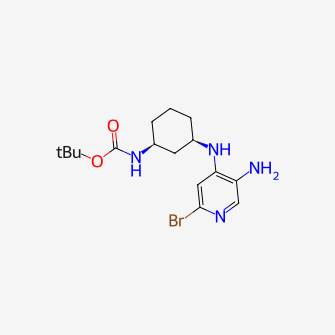 CC(C)(C)OC(=O)N[C@H]1CCC[C@@H](Nc2cc(Br)ncc2N)C1